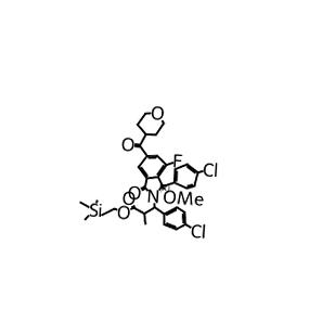 CO[C@]1(c2ccc(Cl)cc2)c2c(F)cc(C(=O)C3CCOCC3)cc2C(=O)N1C(c1ccc(Cl)cc1)C(C)C(=O)OCC[Si](C)(C)C